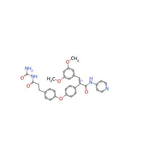 COc1cc(/C=C(/C(=O)Nc2ccncc2)c2ccc(Oc3ccc(CCC(=O)NC(N)=O)cc3)cc2)cc(OC)c1